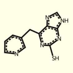 Sc1nc(Cc2cccnc2)c2nc[nH]c2n1